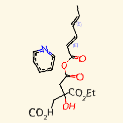 C/C=C/C=C/C(=O)OC(=O)CC(O)(CC(=O)O)C(=O)OCC.c1ccncc1